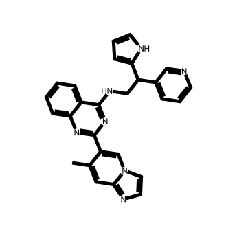 Cc1cc2nccn2cc1-c1nc(NCC(c2cccnc2)c2ccc[nH]2)c2ccccc2n1